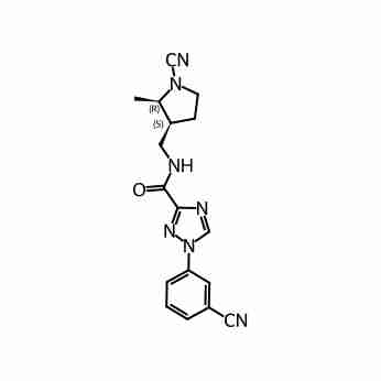 C[C@@H]1[C@H](CNC(=O)c2ncn(-c3cccc(C#N)c3)n2)CCN1C#N